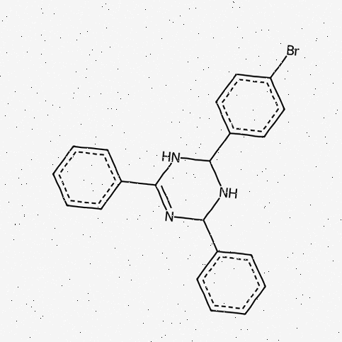 Brc1ccc(C2NC(c3ccccc3)=NC(c3ccccc3)N2)cc1